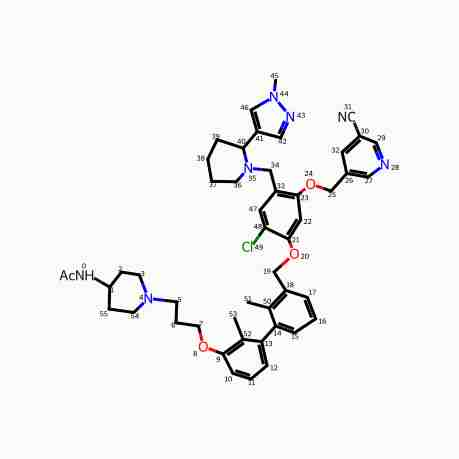 CC(=O)NC1CCN(CCCOc2cccc(-c3cccc(COc4cc(OCc5cncc(C#N)c5)c(CN5CCCCC5c5cnn(C)c5)cc4Cl)c3C)c2C)CC1